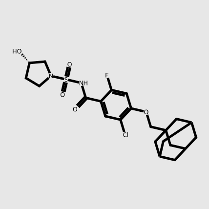 O=C(NS(=O)(=O)N1CC[C@H](O)C1)c1cc(Cl)c(OCC23CC4CC(CC(C4)C2)C3)cc1F